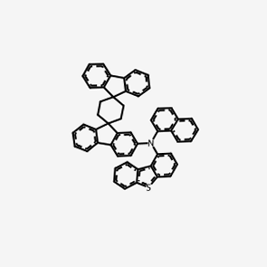 c1ccc2c(c1)-c1ccccc1C21CCC2(CC1)c1ccccc1-c1ccc(N(c3cccc4ccccc34)c3cccc4sc5ccccc5c34)cc12